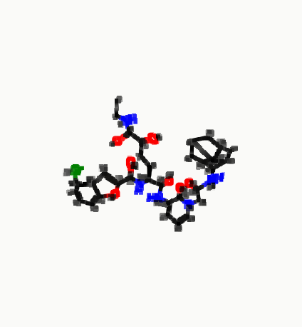 CCNC(=O)C(=O)CC[C@H](NC(=O)c1cc2c(Br)cccc2o1)C(=O)Nc1cccn(CC(=O)NC2C3CC4CC(C3)CC2C4)c1=O